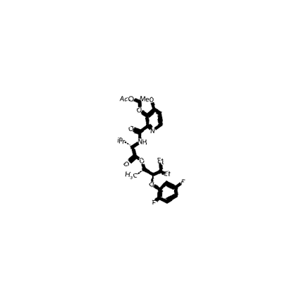 CCC(CC)[C@@H](Oc1cc(F)ccc1F)[C@H](C)OC(=O)[C@@H](NC(=O)c1nccc(OC)c1OCOC(C)=O)C(C)C